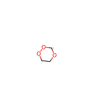 [CH]1OCCOO1